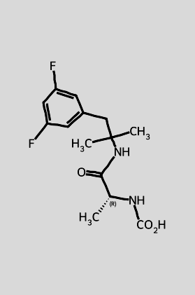 C[C@@H](NC(=O)O)C(=O)NC(C)(C)Cc1cc(F)cc(F)c1